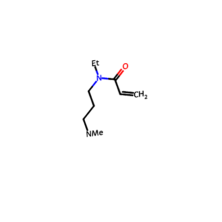 C=CC(=O)N(CC)CCCNC